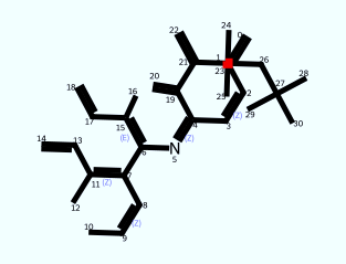 C=C\C=C/C(=N/C(C(/C=C\C)=C(/C)C=C)=C(\C)C=C)C(=C)C(=C)C(C)(C)CC(C)(C)C